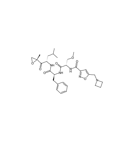 COC[C@H](NC(=O)c1cc(CN2CCC2)on1)C(=O)N[C@@H](Cc1ccccc1)C(=O)N[C@@H](CC(C)C)C(=O)[C@@]1(C)CO1